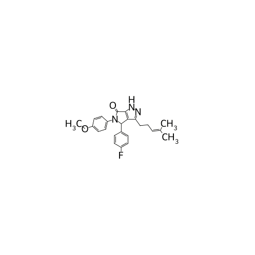 COc1ccc(N2C(=O)c3[nH]nc(CCC=C(C)C)c3C2c2ccc(F)cc2)cc1